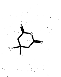 CC1(N)CC(=O)OC(=O)C1